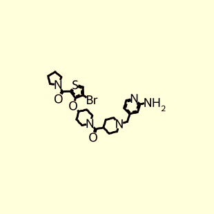 Nc1cc(CN2CCC(C(=O)N3CCC(Oc4c(Br)csc4C(=O)N4CCCC4)CC3)CC2)ccn1